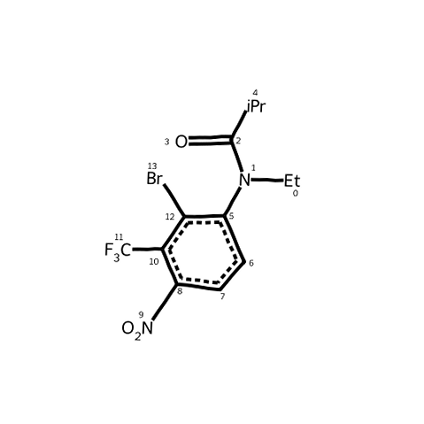 CCN(C(=O)C(C)C)c1ccc([N+](=O)[O-])c(C(F)(F)F)c1Br